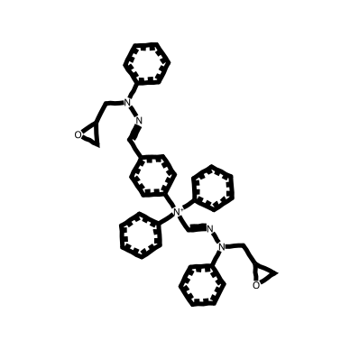 C(=NN(CC1CO1)c1ccccc1)c1ccc([N+](C=NN(CC2CO2)c2ccccc2)(c2ccccc2)c2ccccc2)cc1